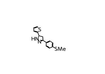 CSc1ccc(C2=NNC(c3cccs3)C2)cc1